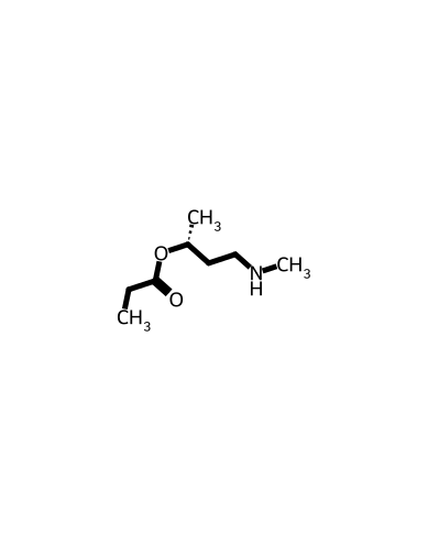 CCC(=O)O[C@H](C)CCNC